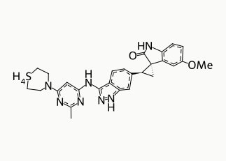 COc1ccc2c(c1)[C@]1(C[C@H]1c1ccc3c(Nc4cc(N5CC[SH4]CC5)nc(C)n4)n[nH]c3c1)C(=O)N2